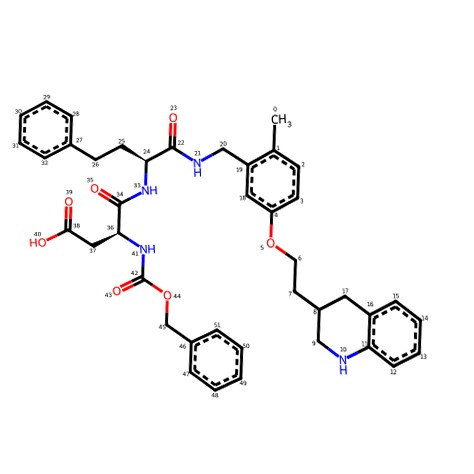 Cc1ccc(OCCC2CNc3ccccc3C2)cc1CNC(=O)[C@H](CCc1ccccc1)NC(=O)[C@H](CC(=O)O)NC(=O)OCc1ccccc1